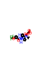 COC(=O)COC(=O)N(C1CC1)C1c2ccccc2N(NNC(=O)c2cccc(OC(F)(F)F)c2)C2CCCC21